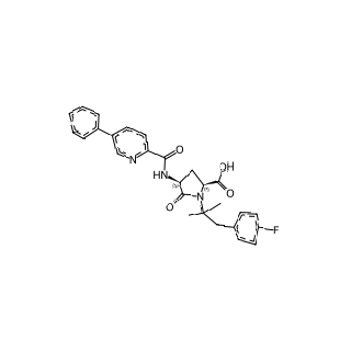 CC(C)(Cc1ccc(F)cc1)N1C(=O)[C@@H](NC(=O)c2ccc(-c3ccccc3)cn2)C[C@H]1C(=O)O